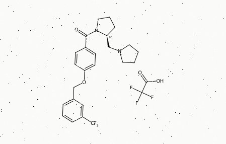 O=C(O)C(F)(F)F.O=C(c1ccc(OCc2cccc(C(F)(F)F)c2)cc1)N1CCC[C@H]1CN1CCCC1